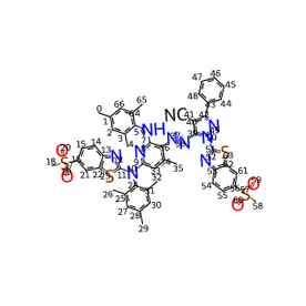 Cc1cc(C)c(Nc2nc(N(c3nc4ccc(S(C)(=O)=O)cc4s3)c3c(C)cc(C)cc3C)cc(C)c2/N=N/c2c(C#N)c(-c3ccccc3)nn2-c2nc3ccc(S(C)(=O)=O)cc3s2)c(C)c1